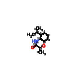 CC1Oc2cccc(C(C)C)c2NC1=O